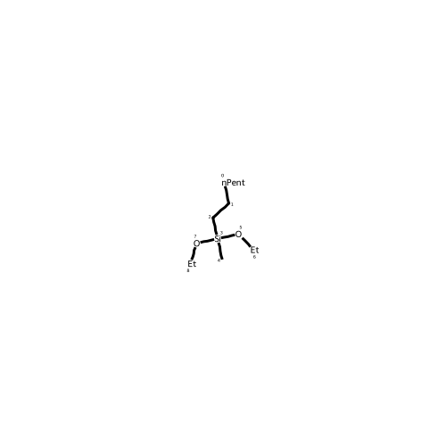 CCCCCCC[Si](C)(OCC)OCC